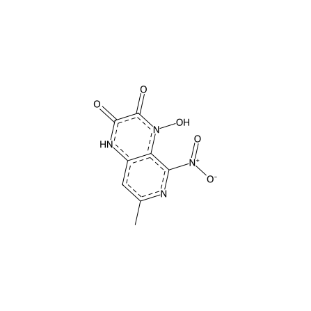 Cc1cc2[nH]c(=O)c(=O)n(O)c2c([N+](=O)[O-])n1